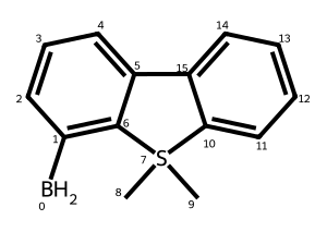 Bc1cccc2c1S(C)(C)c1ccccc1-2